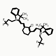 CC1(C)C(/C=C/C2=C(Cl)C(=C/C=C3/N(CCC(F)(F)F)c4ccccc4C3(C)C)/CCC2)=[N+](CCC(F)(F)F)c2ccccc21